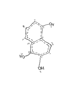 Oc1ccc2c(O)cccc2c1O